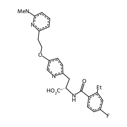 CCc1cc(F)ccc1C(=O)N[C@@H](Cc1ccc(OCCc2cccc(NC)n2)cn1)C(=O)O